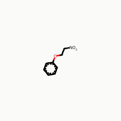 O=[N+]([O-])C[CH]Oc1ccccc1